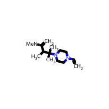 C=CN1CCN(C(C)(C)C(C)C(=C)NC)CC1